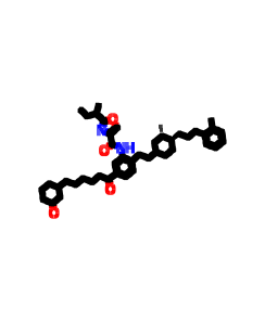 CCC(C)c1nc(C(=O)Nc2cc(C(=O)CCCCCC3CCCC(=O)C3)ccc2CCC2CC[C@H](CCCc3ccccc3C)[C@@H](C)C2)co1